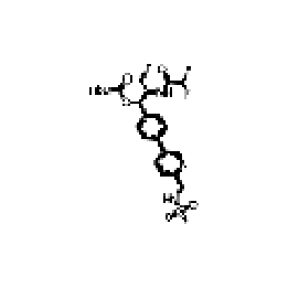 CCCCC(=O)O[C@H](c1ccc(-c2ccc(CNS(C)(=O)=O)nc2)cc1)[C@@H](CF)NC(=O)C(F)F